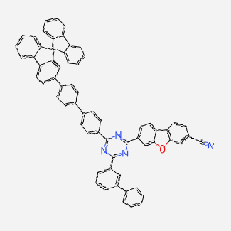 N#Cc1ccc2c(c1)oc1cc(-c3nc(-c4ccc(-c5ccc(-c6ccc7c(c6)C6(c8ccccc8-c8ccccc86)c6ccccc6-7)cc5)cc4)nc(-c4cccc(-c5ccccc5)c4)n3)ccc12